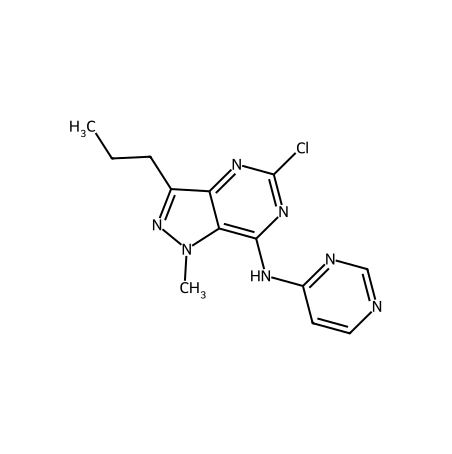 CCCc1nn(C)c2c(Nc3ccncn3)nc(Cl)nc12